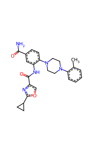 Cc1ccccc1N1CCN(c2ccc(C(N)=O)cc2NC(=O)c2coc(C3CC3)n2)CC1